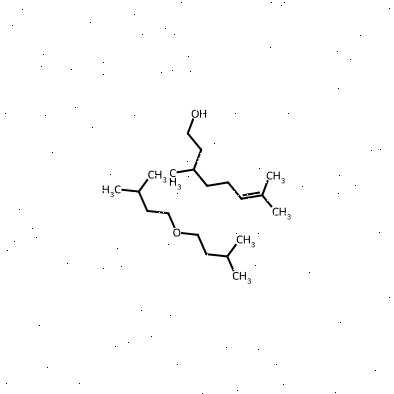 CC(C)=CCCC(C)CCO.CC(C)CCOCCC(C)C